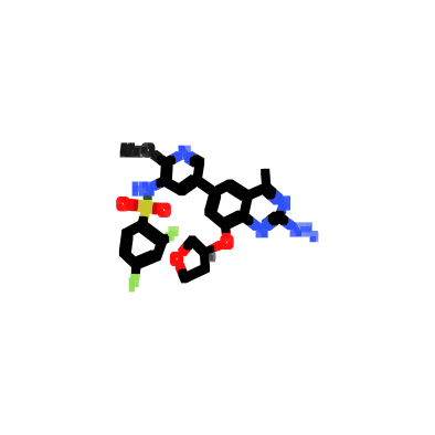 COc1ncc(-c2cc(O[C@H]3CCOC3)c3nc(N)nc(C)c3c2)cc1NS(=O)(=O)c1ccc(F)cc1F